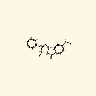 COc1ccc2c(c1)N1C=C(c3ccccc3)N(C)C1S2